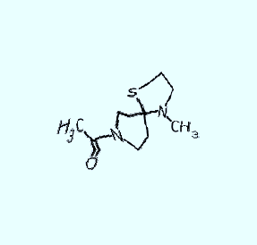 CC(=O)N1CCC2(C1)SCCN2C